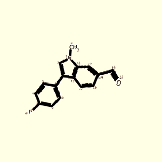 Cn1cc(-c2ccc(F)cc2)c2ccc(C=O)cc21